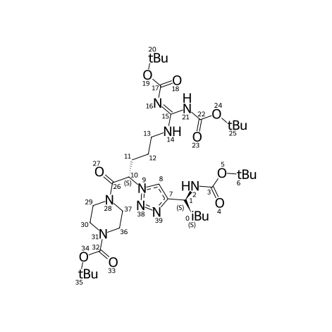 CC[C@H](C)[C@H](NC(=O)OC(C)(C)C)c1cn([C@@H](CCCNC(=NC(=O)OC(C)(C)C)NC(=O)OC(C)(C)C)C(=O)N2CCN(C(=O)OC(C)(C)C)CC2)nn1